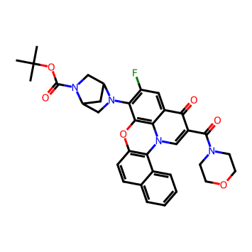 CC(C)(C)OC(=O)N1CC2CC1CN2c1c(F)cc2c(=O)c(C(=O)N3CCOCC3)cn3c2c1Oc1ccc2ccccc2c1-3